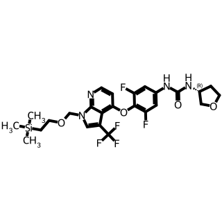 C[Si](C)(C)CCOCn1cc(C(F)(F)F)c2c(Oc3c(F)cc(NC(=O)N[C@@H]4CCOC4)cc3F)ccnc21